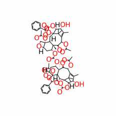 CC(=O)O[C@H]1C(=O)[C@]2(C)[C@@H](OC(=O)O[C@H]3C[C@H]4OC[C@@]4(OC(C)=O)[C@H]4[C@H](OC(=O)c5ccccc5)[C@]56OC(=O)O[C@H]5[C@H](O)C(C)=C([C@@H](OC(C)=O)C(=O)[C@]34C)C6(C)C)C[C@H]3OC[C@@]3(OC(C)=O)[C@H]2[C@H](OC(=O)c2ccccc2)[C@]23OC(=O)O[C@H]2[C@H](O)C(C)=C1C3(C)C